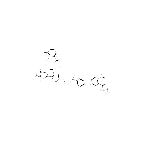 CCc1cnc(C2=NC(C)(C(C)C)C(=O)N2)c(C(=O)O)c1.COc1c(Cl)ccc(Cl)c1C(=O)O.CS(=O)(=O)NC(=O)c1cc(Oc2ccc(C(F)(F)F)cc2Cl)ccc1[N+](=O)[O-]